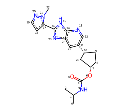 CC(C)NC(=O)O[C@H]1CC[C@@H](c2cnc3[nH]c(-c4ccnn4C)nc3c2)C1